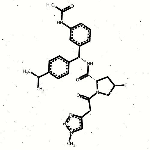 CC(=O)Nc1cccc([C@H](NC(=O)[C@@H]2C[C@@H](F)CN2C(=O)Cc2cn(C)nn2)c2ccc(C(C)C)cc2)c1